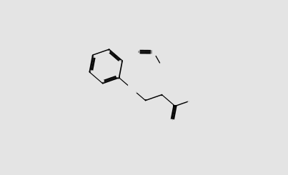 O=C(O)C[CH2][Ce+][c]1ccccc1.O=P[O-]